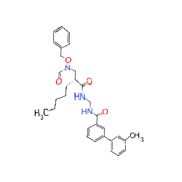 CCCCC[C@H](CN(C=O)OCc1ccccc1)C(=O)NCNC(=O)c1cccc(-c2cccc(C)c2)c1